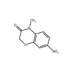 CN1C(=O)COc2cc([N+](=O)[O-])ccc21